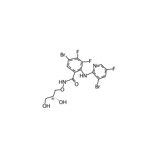 O=C(NOC[C@H](O)CO)c1cc(Br)c(F)c(F)c1Nc1ncc(F)cc1Br